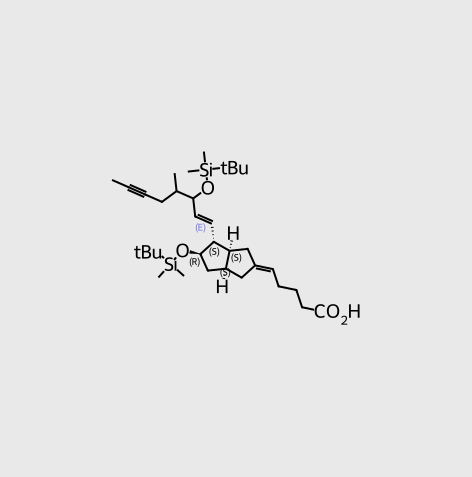 CC#CCC(C)C(/C=C/[C@@H]1[C@H]2CC(=CCCCC(=O)O)C[C@H]2C[C@H]1O[Si](C)(C)C(C)(C)C)O[Si](C)(C)C(C)(C)C